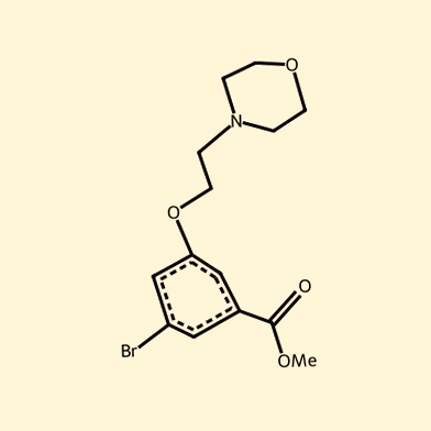 COC(=O)c1cc(Br)cc(OCCN2CCOCC2)c1